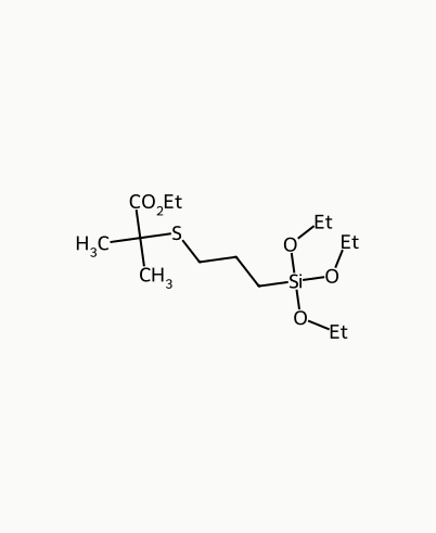 CCOC(=O)C(C)(C)SCCC[Si](OCC)(OCC)OCC